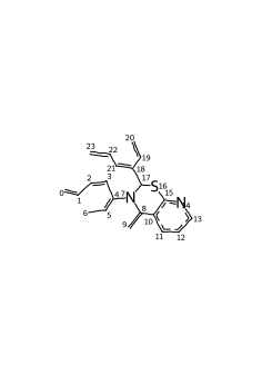 C=C/C=C\C(=C/C)N1C(=C)c2cccnc2SC1/C(C=C)=C/C=C